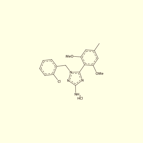 COc1cc(C)cc(OC)c1-c1nc(N)nn1Cc1ccccc1Cl.Cl